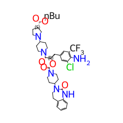 CCCCOC(=O)[C@H]1CCN(C2CCN(C(=O)[C@@H](Cc3cc(Cl)c(N)c(C(F)(F)F)c3)OC(=O)N3CCC(N4CCc5ccccc5NC4=O)CC3)CC2)C1